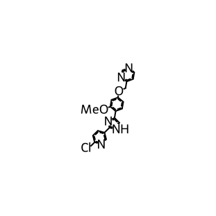 COc1cc(OCc2ccncn2)ccc1-c1c[nH]c(-c2ccc(Cl)nc2)n1